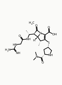 C.C[C@@H](NC(=O)CNC(=N)N)[C@H]1C(=O)N2C(C(=O)O)=C(S[C@@H]3CN[C@H](C(=O)N(C)C)C3)[C@H](C)[C@H]12